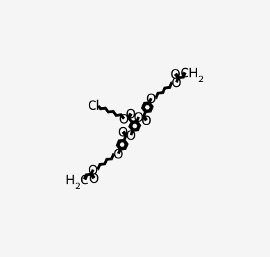 C=CC(=O)OCCCCCCOc1ccc(C(=O)Oc2ccc(OC(=O)c3ccc(OCCCCCCOC(=O)C=C)cc3)c(C(=O)OCCCCCCCl)c2)cc1